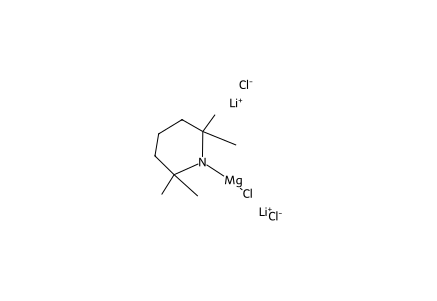 CC1(C)CCCC(C)(C)[N]1[Mg][Cl].[Cl-].[Cl-].[Li+].[Li+]